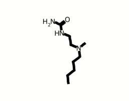 CCCCCN(C)CCNC(N)=O